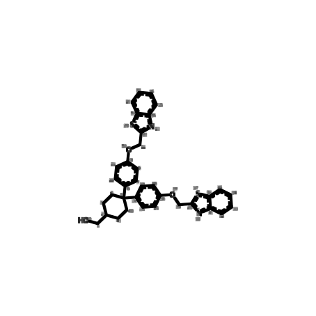 OCC1CCC(c2ccc(OCc3nc4ccccc4s3)cc2)(c2ccc(OCc3nc4ccccc4s3)cc2)CC1